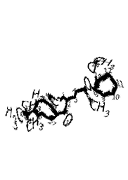 C=C/C(=C\C=C(/C)Oc1ccccc1OC)C(=O)c1ccc(C(C)(C)C)cc1